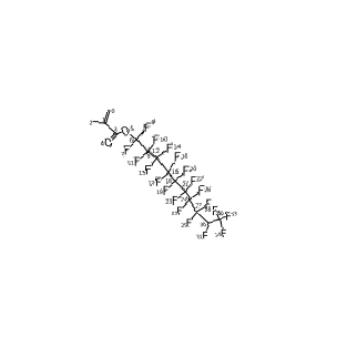 C=C(C)C(=O)OC(F)(F)C(F)(F)C(F)(F)C(F)(F)C(F)(F)C(F)(F)C(F)(F)C(F)(F)C(F)C(F)(F)F